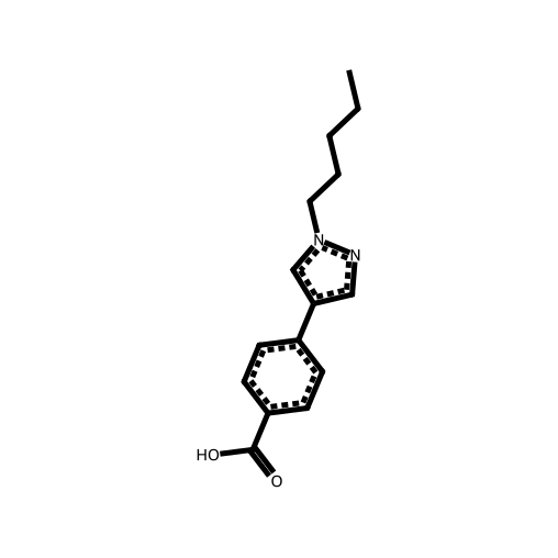 CCCCCn1cc(-c2ccc(C(=O)O)cc2)cn1